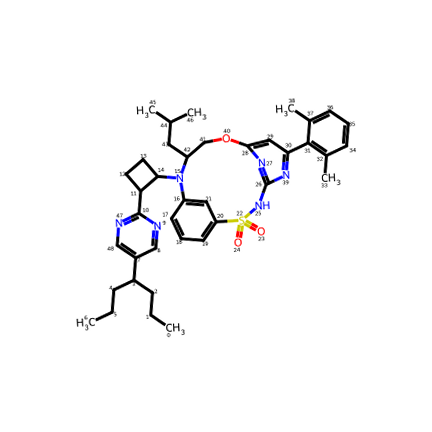 CCCC(CCC)c1cnc(C2CCC2N2c3cccc(c3)S(=O)(=O)Nc3nc(cc(-c4c(C)cccc4C)n3)OCC2CC(C)C)nc1